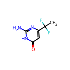 Nc1nc(C(F)(F)C(F)(F)F)cc(=O)[nH]1